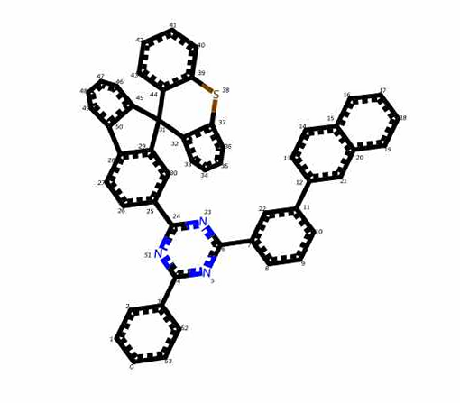 c1ccc(-c2nc(-c3cccc(-c4ccc5ccccc5c4)c3)nc(-c3ccc4c(c3)C3(c5ccccc5Sc5ccccc53)c3ccccc3-4)n2)cc1